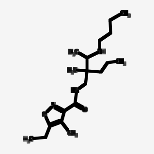 CCCCNC(C)C(C)(CCC)CNC(=O)c1noc(CC)c1C